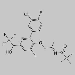 C/C(COc1c(I)cc(C(O)C(F)(F)F)nc1-c1ccc(F)c(Cl)c1)=N\[S+]([O-])C(C)(C)C